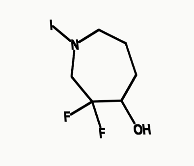 OC1CCCN(I)CC1(F)F